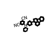 N#Cc1cc(C#N)cc(N(C2=CC=CCC2)c2ccc(-c3ccc4c5c(cccc35)-c3ccccc3-4)cc2)c1